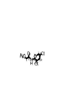 N#CCC(=O)Nc1ncc(Cl)cc1Cl